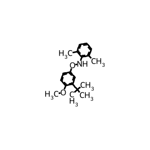 COc1ccc(ONc2c(C)cccc2C)cc1C(C)(C)C